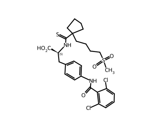 CS(=O)(=O)CCCCC1(C(=S)N[C@@H](Cc2ccc(NC(=O)c3c(Cl)cccc3Cl)cc2)C(=O)O)CCCC1